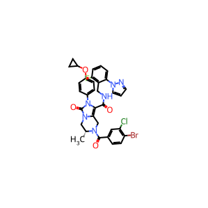 C[C@@H]1Cn2c(c(C(=O)NCc3c(F)cccc3-n3cccn3)n(-c3ccc(OC4CC4)cc3)c2=O)CN1C(=O)c1ccc(Br)c(Cl)c1